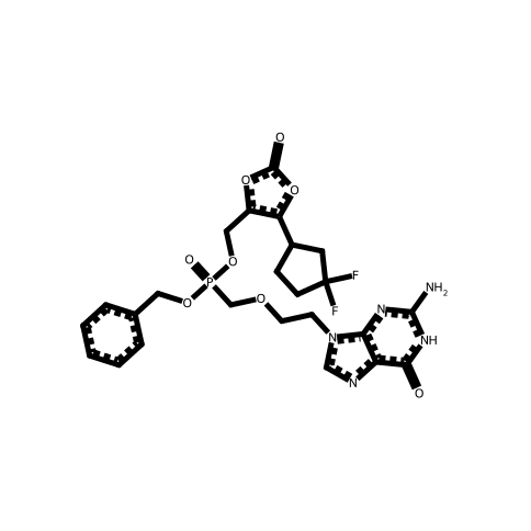 Nc1nc2c(ncn2CCOCP(=O)(OCc2ccccc2)OCc2oc(=O)oc2C2CCC(F)(F)C2)c(=O)[nH]1